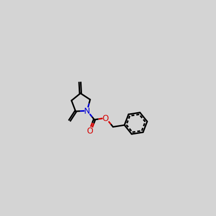 C=C1CC(=C)N(C(=O)OCc2ccccc2)C1